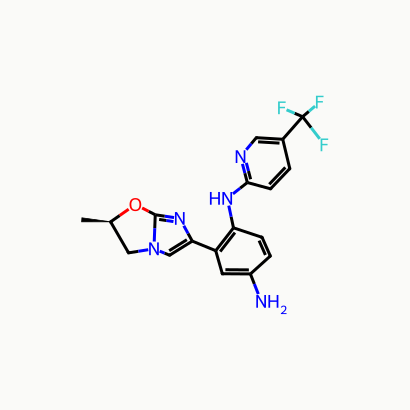 C[C@@H]1Cn2cc(-c3cc(N)ccc3Nc3ccc(C(F)(F)F)cn3)nc2O1